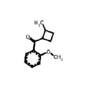 COc1ccccc1C(=O)C1CCC1C